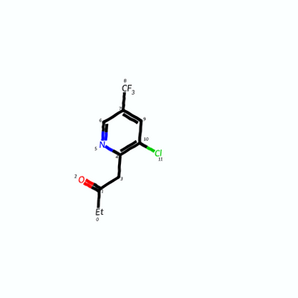 CCC(=O)Cc1ncc(C(F)(F)F)cc1Cl